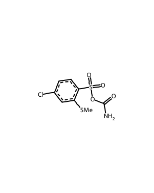 CSc1cc(Cl)ccc1S(=O)(=O)OC(N)=O